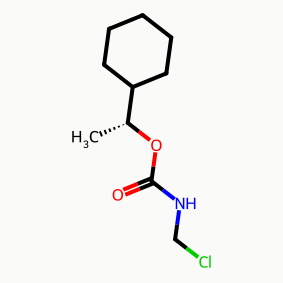 C[C@@H](OC(=O)NCCl)C1CCCCC1